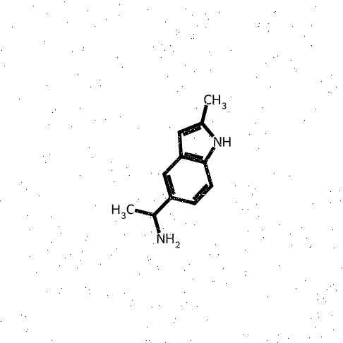 Cc1cc2cc(C(C)N)ccc2[nH]1